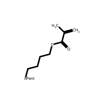 C=C(C)C(=O)OCCCCC[CH]CCC